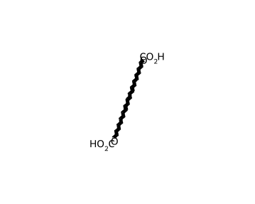 O=C(O)OCCCCCCCCC=CCC=CCC=CCCCCCCCCCOC(=O)O